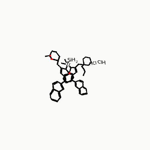 CCCC1(CC2=Cc3c(-c4ccc5ccccc5c4)cccc3[CH]2[Zr]([CH3])([CH3])(=[SiH2])[CH]2C(CC3(CCC)CCCCC3)=Cc3c(-c4ccc5ccccc5c4)cccc32)CCCCC1.Cl.Cl